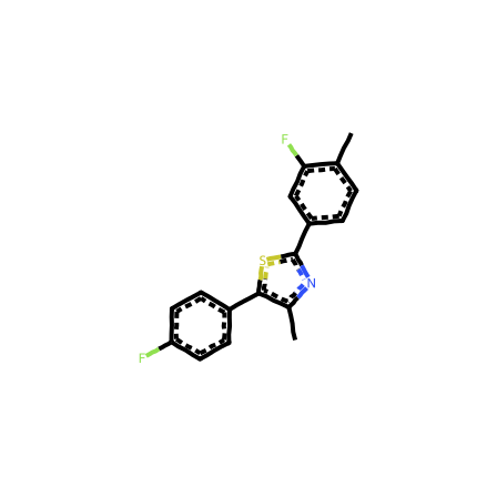 Cc1ccc(-c2nc(C)c(-c3ccc(F)cc3)s2)cc1F